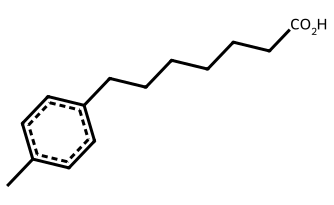 Cc1ccc(CCCCCCC(=O)O)cc1